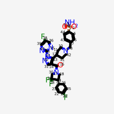 NS(=O)(=O)c1ccc(CN2CCC(c3c(C(=O)N4C[C@@H](C5C=CC(F)=CC5)C(F)(F)C4)cnn3-c3ncc(F)cn3)CC2)cc1